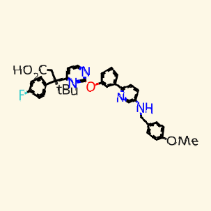 COc1ccc(CNc2ccc(-c3cccc(Oc4nccc(C(CC(=O)O)(c5ccc(F)cc5)C(C)(C)C)n4)c3)nc2)cc1